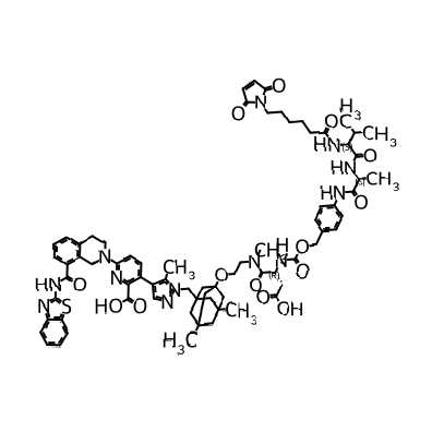 Cc1c(-c2ccc(N3CCc4cccc(C(=O)Nc5nc6ccccc6s5)c4C3)nc2C(=O)O)cnn1CC12CC3(C)CC(C)(C1)CC(OCCN(C)C(=O)[C@@H](CC(=O)O)NC(=O)OCc1ccc(NC(=O)[C@H](C)NC(=O)[C@@H](NC(=O)CCCCCN4C(=O)C=CC4=O)C(C)C)cc1)(C3)C2